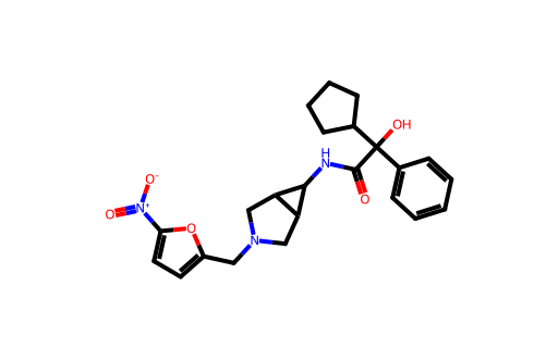 O=C(NC1C2CN(Cc3ccc([N+](=O)[O-])o3)CC21)C(O)(c1ccccc1)C1CCCC1